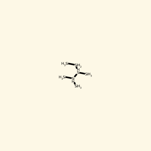 [SiH3][SiH2][SiH]([SiH3])[SiH]([SiH3])[SiH3]